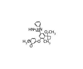 CC(=O)C1(c2cc(/C(=C/C=N)Nc3ccccc3)cc(Oc3ccn(C)c(=O)c3)c2C)CCC1